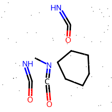 C1CCCCC1.CN=C=O.N=C=O.N=C=O